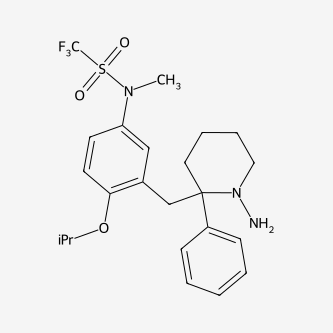 CC(C)Oc1ccc(N(C)S(=O)(=O)C(F)(F)F)cc1CC1(c2ccccc2)CCCCN1N